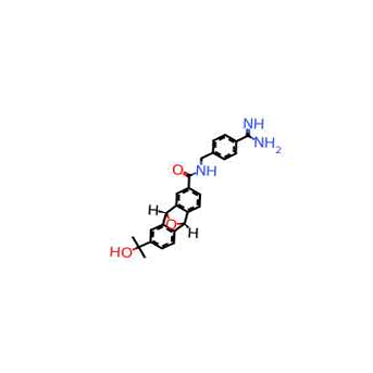 CC(C)(O)c1ccc2c(c1)[C@H]1O[C@@H]2c2ccc(C(=O)NCc3ccc(C(=N)N)cc3)cc21